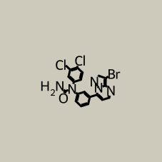 NC(=O)N(c1cccc(-c2ccnc3c(Br)cnn23)c1)c1ccc(Cl)c(Cl)c1